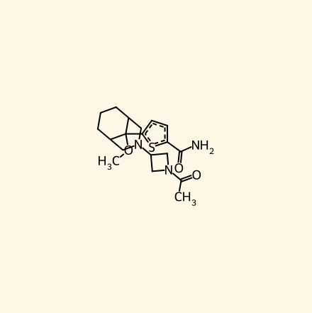 COC1(c2ccc(C(N)=O)s2)C2CCCC1CN(C1CN(C(C)=O)C1)C2